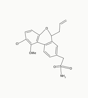 C=CCC1Oc2ccc(Cl)c(OC)c2-c2ccc(CS(N)(=O)=O)cc21